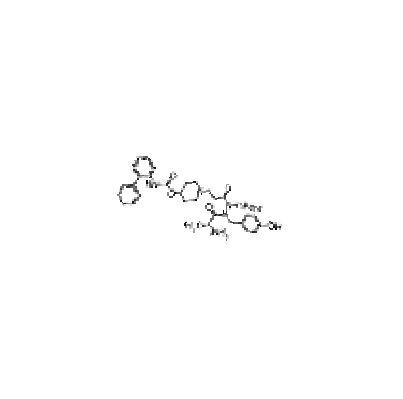 CCCCCN(C(=O)CCN1CCC(OC(=O)Nc2ccccc2-c2ccccc2)CC1)N(Cc1ccc(O)cc1)C(=O)[C@H](C)N